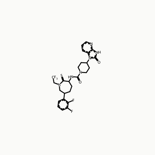 O=C(NC1CCC(c2cccc(F)c2F)CN(CC(F)(F)F)C1=S)N1CCC(n2c(=O)[nH]c3ncccc32)CC1